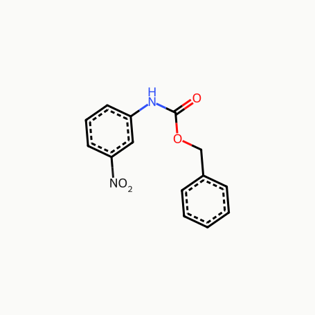 O=C(Nc1cccc([N+](=O)[O-])c1)OCc1ccccc1